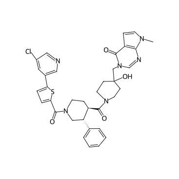 Cn1ccc2c(=O)n(CC3(O)CCN(C(=O)[C@@H]4CCN(C(=O)c5ccc(-c6cncc(Cl)c6)s5)C[C@H]4c4ccccc4)CC3)cnc21